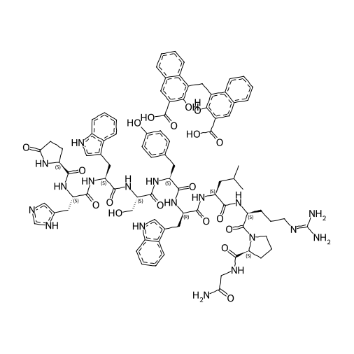 CC(C)C[C@H](NC(=O)[C@@H](Cc1c[nH]c2ccccc12)NC(=O)[C@H](Cc1ccc(O)cc1)NC(=O)[C@H](CO)NC(=O)[C@H](Cc1c[nH]c2ccccc12)NC(=O)[C@H](Cc1cnc[nH]1)NC(=O)[C@@H]1CCC(=O)N1)C(=O)N[C@@H](CCCN=C(N)N)C(=O)N1CCC[C@H]1C(=O)NCC(N)=O.O=C(O)c1cc2ccccc2c(Cc2c(O)c(C(=O)O)cc3ccccc23)c1O